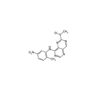 Cc1ccc([N+](=O)[O-])cc1Nc1ncnc2cnc([S+](C)[O-])nc12